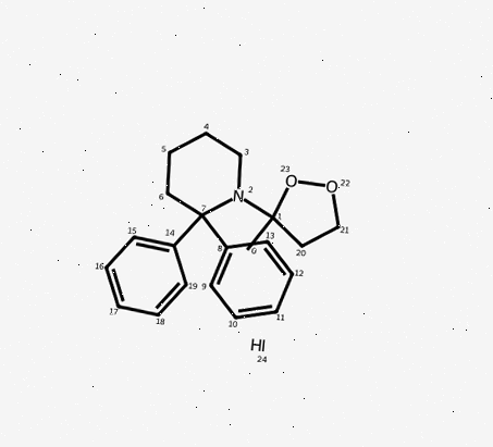 CC1(N2CCCCC2(c2ccccc2)c2ccccc2)CCOO1.I